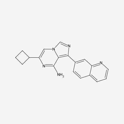 Nc1nc(C2CCC2)cn2cnc(-c3ccc4cccnc4c3)c12